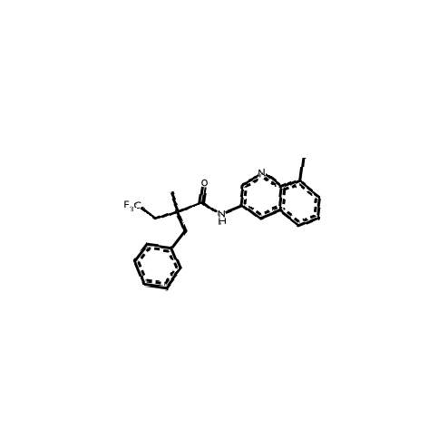 Cc1cccc2cc(NC(=O)C(C)(Cc3ccccc3)CC(F)(F)F)cnc12